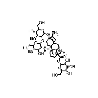 C=C1C[C@@]23CC[C@H]4[C@@](C)(CCC[C@@]4(C)C(=O)O[C@@H]4OC(CO)[C@@H](O)C(O)[C@@H]4O)[C@@H]2CC[C@]1(O[C@@H]1OC(CO)[C@@H](O)C(O)[C@@H]1O[C@@H]1OC(CO)[C@@H](O)C(O)[C@@H]1O)C3